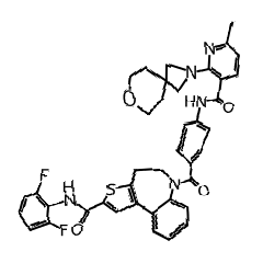 Cc1ccc(C(=O)Nc2ccc(C(=O)N3CCc4sc(C(=O)Nc5c(F)cccc5F)cc4-c4ccccc43)cc2)c(N2CC3(CCOCC3)C2)n1